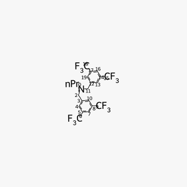 CCCN(Cc1cc(C(F)(F)F)cc(C(F)(F)F)c1)Cc1cc(C(F)(F)F)cc(C(F)(F)F)c1